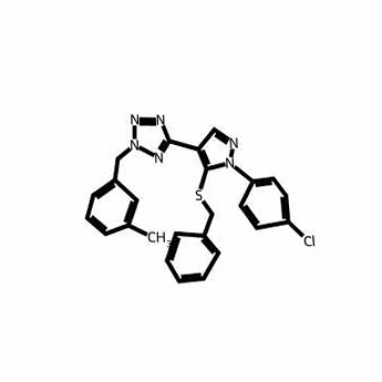 Cc1cccc(Cn2nnc(-c3cnn(-c4ccc(Cl)cc4)c3SCc3ccccc3)n2)c1